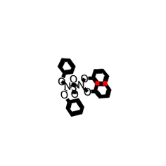 O=S(=O)(N(Oc1ccccc1)Oc1ccccc1)N(Oc1ccccc1)Oc1ccccc1